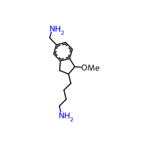 COC1c2ccc(CN)cc2CC1CCCCN